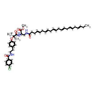 CCC=CCC=CCC=CCC=CCC=CCC=CCCC(=O)NCC(NC(=O)C(C)(C)Oc1ccc(CCNC(=O)c2ccc(Cl)cc2)cc1)C(=O)OC